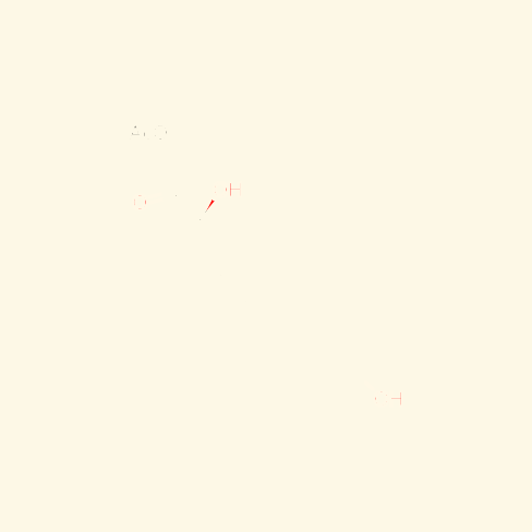 CC(=O)OCC(=O)[C@@]1(O)[C@@H](C)CC2C3CCC4=CC(O)CC[C@]4(C)C3=CC[C@@]21C